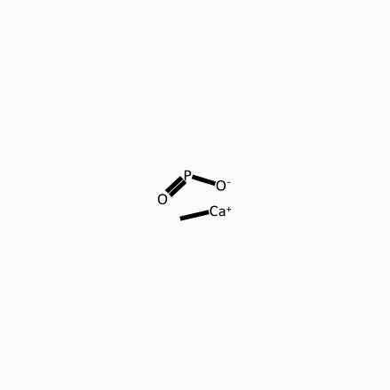 O=P[O-].[CH3][Ca+]